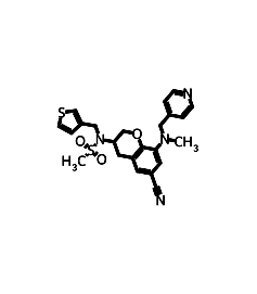 CN(Cc1ccncc1)c1cc(C#N)cc2c1OCC(N(Cc1ccsc1)S(C)(=O)=O)C2